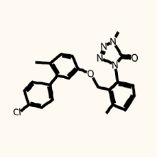 Cc1ccc(OCc2c(C)cccc2-n2nnn(C)c2=O)cc1-c1ccc(Cl)cc1